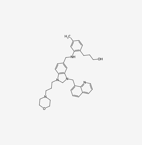 Cc1ccc(CCCO)c(NCc2ccc3c(c2)N(Cc2cccc4cccnc24)CN3CCCN2CCOCC2)c1